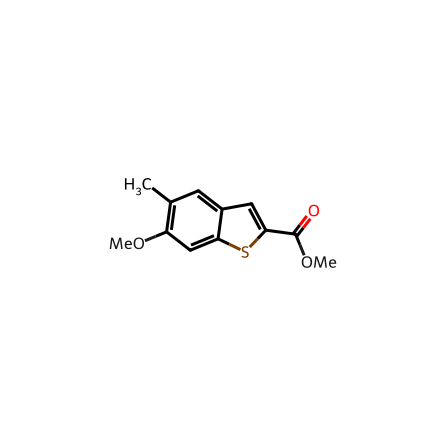 COC(=O)c1cc2cc(C)c(OC)cc2s1